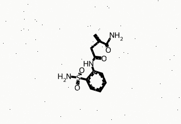 C=C(CC(=O)Nc1ccccc1S(N)(=O)=O)C(N)=O